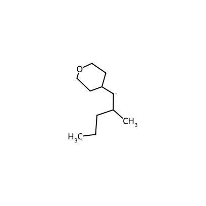 CCCC(C)[CH]C1CCOCC1